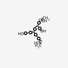 CCC(O)Oc1ccc(C(=Cc2ccc(N(c3ccc(-c4ccc(O)cc4)cc3)c3ccc(-c4ccc(OC(O)CC)cc4)cc3)cc2)c2ccc(O)cc2)cc1